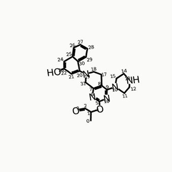 CC(C=O)Oc1nc2c(c(N3CCNCC3)n1)CCN(c1cc(O)cc3ccccc13)C2